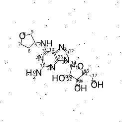 Nc1nc(NC2CCOC2)c2ncn([C@@H]3O[C@H](CO)[C@H](O)[C@@H]3O)c2n1